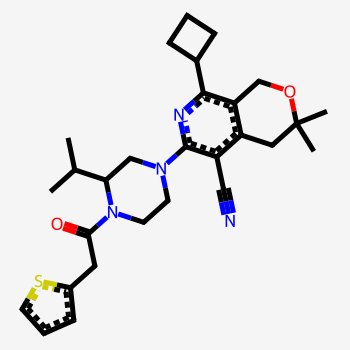 CC(C)C1CN(c2nc(C3CCC3)c3c(c2C#N)CC(C)(C)OC3)CCN1C(=O)Cc1cccs1